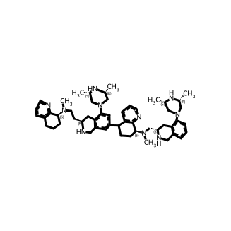 C[C@@H]1CN(c2cc(C3CC[C@H](N(C)C[C@@H]4Cc5c(cccc5N5C[C@@H](C)N[C@@H](C)C5)CN4)c4ncccc43)cc3c2C[C@H](CCN(C)[C@H]2CCCc4cccnc42)NC3)C[C@H](C)N1